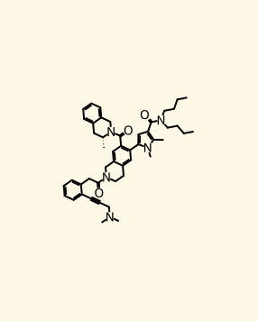 CCCCN(CCCC)C(=O)c1cc(-c2cc3c(cc2C(=O)N2Cc4ccccc4C[C@H]2C)CN(C(=O)Cc2ccccc2C#CCN(C)C)CC3)n(C)c1C